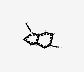 Cn1[c]cc2cc(F)ccc21